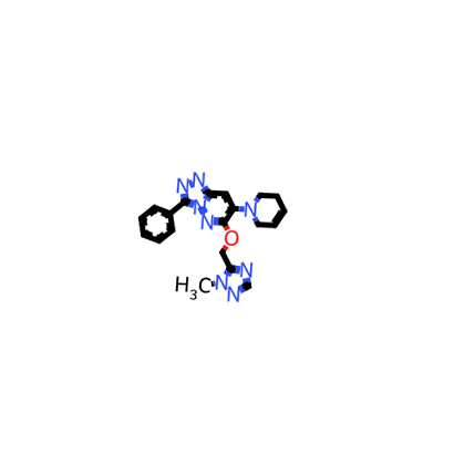 Cn1ncnc1COc1nn2c(-c3ccccc3)nnc2cc1N1CC=CCC1